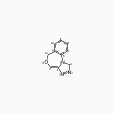 C1=C2N=NCN2c2ccccc2CO1